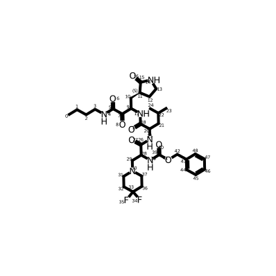 CCCCNC(=O)C(=O)C(C[C@@H]1CCNC1=O)NC(=O)C(CC(C)C)NC(=O)C(CN1CCC(F)(F)CC1)NC(=O)OCc1ccccc1